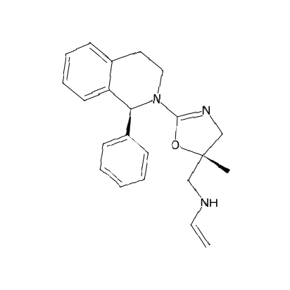 C=CNC[C@@]1(C)CN=C(N2CCc3ccccc3[C@@H]2c2ccccc2)O1